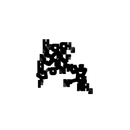 CCN(c1nc(OC[C@@H]2C[C@@H](F)CN2)nc(N2CC3(C2)SCc2sc(N)c(C#N)c23)c1F)[C@H](C)c1cccnc1N